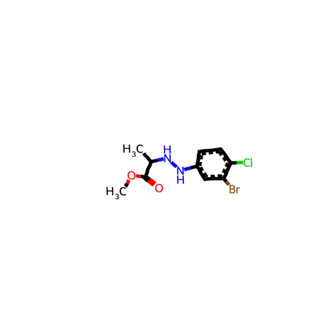 COC(=O)C(C)NNc1ccc(Cl)c(Br)c1